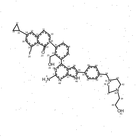 Nc1nc(-c2cccc(-n3ccc4cc(C5CC5)cc(F)c4c3=O)c2CO)c2cc(-c3ccc(CN4CCN(CCO)CC4)cc3)[nH]c2n1